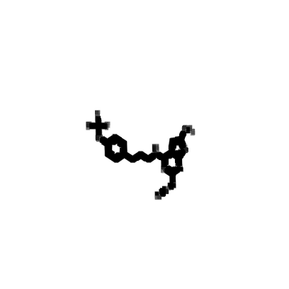 Cc1cc2c(NCCCc3ccc(OC(F)(F)F)cc3)nc(N=[N+]=[N-])nc2s1